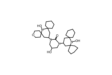 O=C1N(C2CC3(CCCCC3)N(O)C3(CCCCC3)C2)CC(O)CN1C1CC2(CCCCC2)N(O)C2(CCOCC2)C1